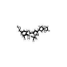 COCc1cc2nc(-c3cc(C4CCC5(C4)OCCO5)nn3C(C)(C)C)[nH]c2c(C)n1